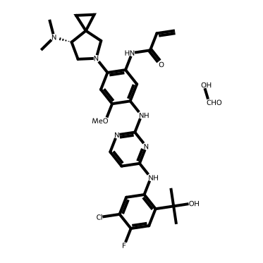 C=CC(=O)Nc1cc(Nc2nccc(Nc3cc(Cl)c(F)cc3C(C)(C)O)n2)c(OC)cc1N1C[C@H](N(C)C)C2(CC2)C1.O=CO